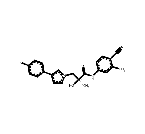 Cc1cc(NC(=O)[C@@](C)(O)Cn2ccc(-c3ccc(F)cc3)c2)ccc1C#N